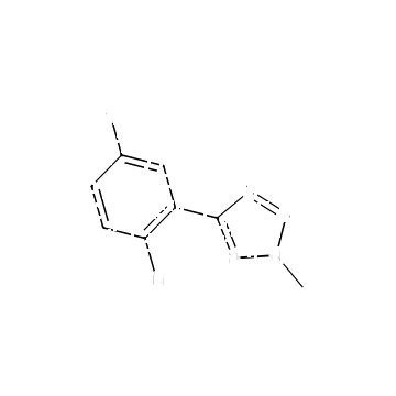 Cn1nnc(-c2cc(Cl)ccc2Br)n1